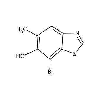 Cc1cc2ncsc2c(Br)c1O